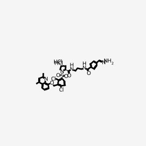 Cc1cc(C)c2cccc(OCc3c(Cl)ccc(S(=O)(=O)N4CCC[C@H]4C(=O)NCCCNC(=O)c4ccc(C=NN)cc4)c3Cl)c2n1.Cl.Cl